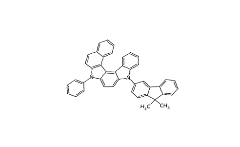 CC1(C)c2ccccc2-c2cc(-n3c4ccccc4c4c5c6c7ccccc7ccc6n(-c6ccccc6)c5ccc43)ccc21